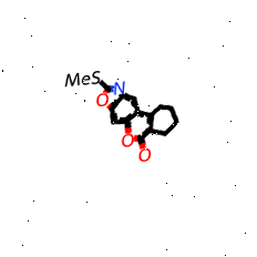 CSc1nc2cc3c4c(c(=O)oc3cc2o1)CCCC4